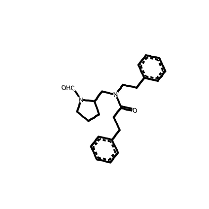 O=CN1CCCC1CN(CCc1ccccc1)C(=O)CCc1ccccc1